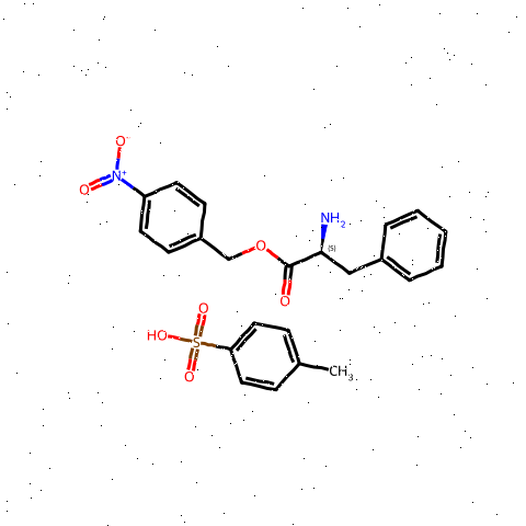 Cc1ccc(S(=O)(=O)O)cc1.N[C@@H](Cc1ccccc1)C(=O)OCc1ccc([N+](=O)[O-])cc1